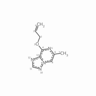 C=CCOc1nc(C)cn2ncnc12